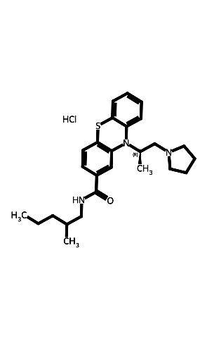 CCCC(C)CNC(=O)c1ccc2c(c1)N([C@H](C)CN1CCCC1)c1ccccc1S2.Cl